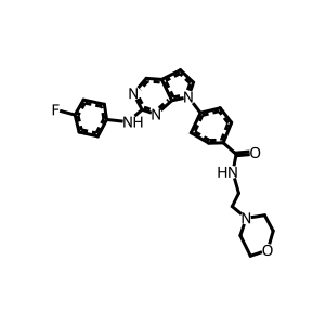 O=C(NCCN1CCOCC1)c1ccc(-n2ccc3cnc(Nc4ccc(F)cc4)nc32)cc1